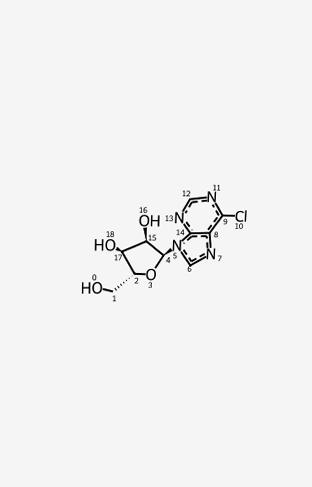 OC[C@H]1O[C@H](n2cnc3c(Cl)ncnc32)[C@H](O)[C@@H]1O